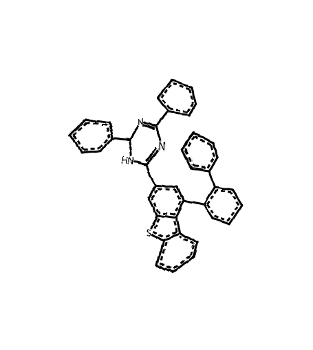 c1ccc(C2=NC(c3ccccc3)NC(c3cc(-c4ccccc4-c4ccccc4)c4c(c3)sc3ccccc34)=N2)cc1